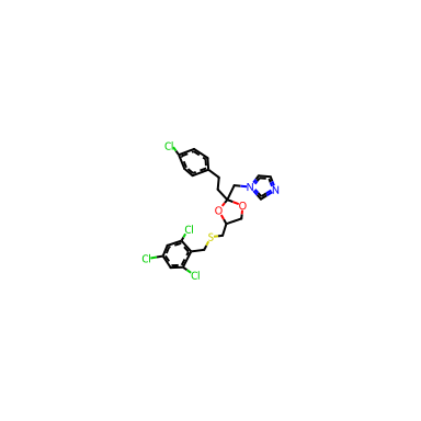 Clc1ccc(CCC2(Cn3ccnc3)OCC(CSCc3c(Cl)cc(Cl)cc3Cl)O2)cc1